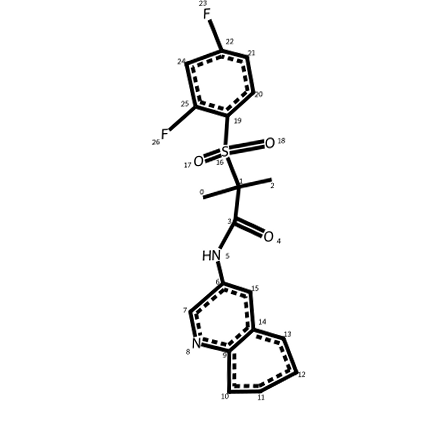 CC(C)(C(=O)Nc1cnc2ccccc2c1)S(=O)(=O)c1ccc(F)cc1F